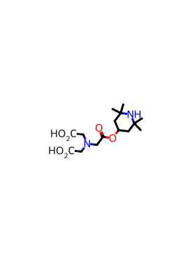 CC1(C)CC(OC(=O)CN(CC(=O)O)CC(=O)O)CC(C)(C)N1